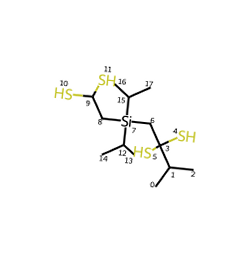 CC(C)C(S)(S)C[Si](CC(S)S)(C(C)C)C(C)C